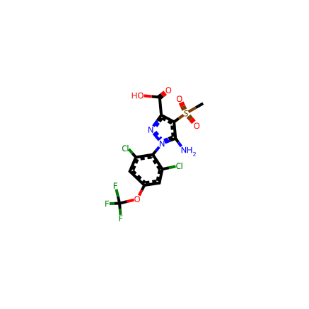 CS(=O)(=O)c1c(C(=O)O)nn(-c2c(Cl)cc(OC(F)(F)F)cc2Cl)c1N